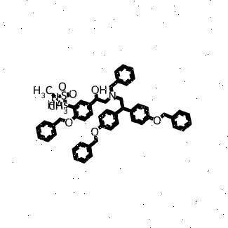 CN(C)S(=O)(=O)[AsH]c1cc(C(O)CN(Cc2ccccc2)CC(c2ccc(OCc3ccccc3)cc2)c2ccc(OCc3ccccc3)cc2)ccc1OCc1ccccc1